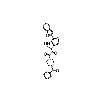 O=C(C(=O)N1CCN(C(=O)c2ccccc2)CC1)C1CNc2c1ccnc2-c1cc2ccccc2o1